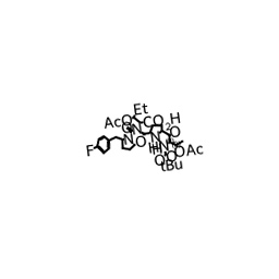 CCC(OC(C)=O)C(C(=O)O)N(C(=O)C1CCC(C(=O)[C@H](NC(=O)OC(C)(C)C)[C@@H](C)OC(C)=O)N1)C(=O)N1CCCC1Cc1ccc(F)cc1